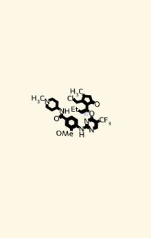 CC/C=C(/Oc1nc(Nc2ccc(C(=O)NC3CCN(C)CC3)cc2OC)ncc1C(F)(F)F)C1=C(CCl)C(C)CC1=O